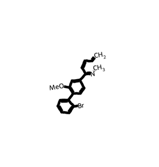 C=C/C=C\C(=N/C)c1ccc(-c2ccccc2Br)c(OC)c1